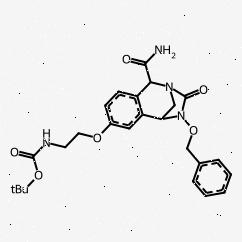 CC(C)(C)OC(=O)NCCOc1ccc2c(c1)C1CN(C(=O)N1OCc1ccccc1)C2C(N)=O